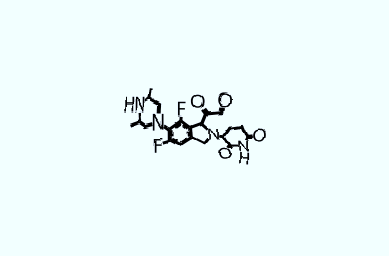 CC1CN(c2c(F)cc3c(c2F)C(C(=O)C=O)N(C2CCC(=O)NC2=O)C3)CC(C)N1